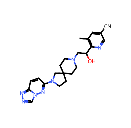 Cc1cc(C#N)cnc1C(O)CN1CCC2(CC1)CCN(c1ccc3nncn3n1)C2